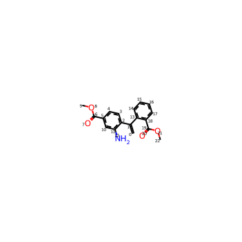 C=C(c1ccc(C(=O)OC)cc1N)c1ccccc1C(=O)OC